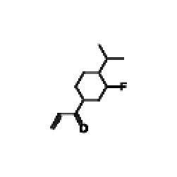 C=CC(=O)C1CCC(C(C)C)C(F)C1